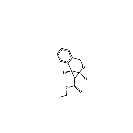 CCOC(=O)C1[C@H]2OCc3ccccc3[C@@H]12